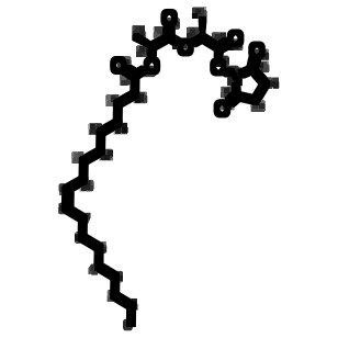 CCCCCCCC/C=C\CCCCCCCC(=O)O[C@@H](C)C(=O)O[C@@H](C)C(=O)ON1C(=O)CCC1=O